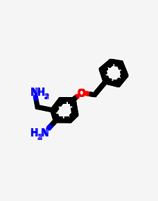 NCc1cc(OCc2ccccc2)ccc1N